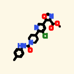 COC(=O)c1ncoc1-c1cnc(C2=CCN(C(=O)Nc3ccc(C)cc3)CC2)c(Cl)c1